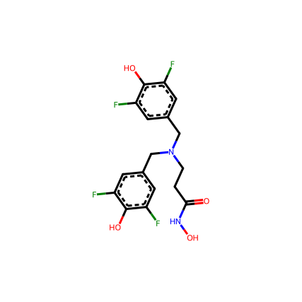 O=C(CCN(Cc1cc(F)c(O)c(F)c1)Cc1cc(F)c(O)c(F)c1)NO